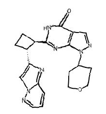 O=c1[nH]c([C@@H]2CC[C@H]2c2cn3ncccc3n2)nc2c1cnn2C1CCOCC1